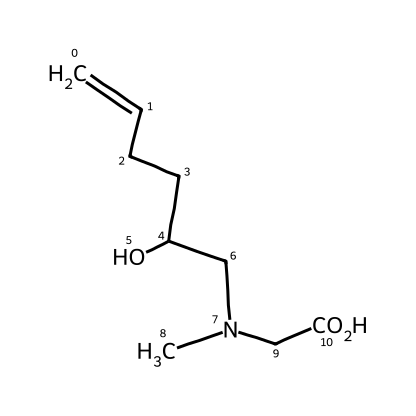 C=CCCC(O)CN(C)CC(=O)O